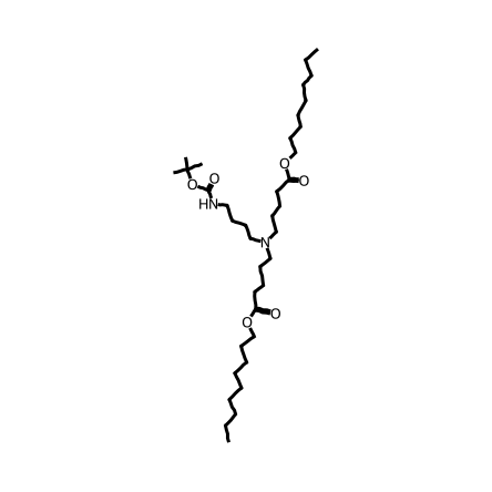 CCCCCCCCCOC(=O)CCCCN(CCCCNC(=O)OC(C)(C)C)CCCCC(=O)OCCCCCCCCC